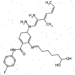 C\C=C/C=C(C)/C(N)=C/N(N)C1C=C(/N=C/CCCCC(O)O)C(C(=O)Nc2ccc(F)cc2)=CC1